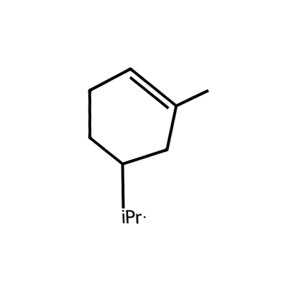 C[C](C)C1CCC=C(C)C1